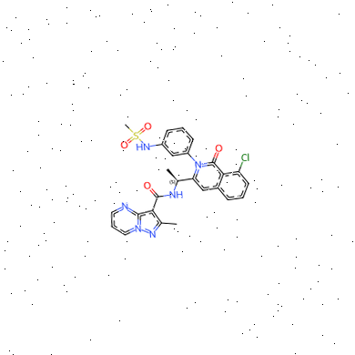 Cc1nn2cccnc2c1C(=O)N[C@@H](C)c1cc2cccc(Cl)c2c(=O)n1-c1cccc(NS(C)(=O)=O)c1